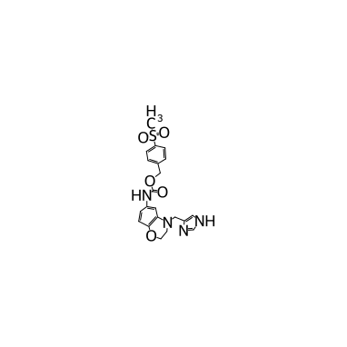 CS(=O)(=O)c1ccc(COC(=O)Nc2ccc3c(c2)N(Cc2c[nH]cn2)CCO3)cc1